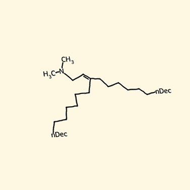 CCCCCCCCCCCCCCCCC(=CCN(C)C)CCCCCCCCCCCCCCCC